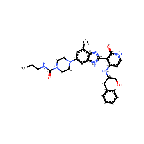 CCCNC(=O)N1CCN(c2cc(C)c3nc(-c4c(NC(CO)Cc5ccccc5)cc[nH]c4=O)[nH]c3c2)CC1